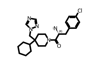 [N][C@H](Cc1ccc(Cl)cc1)C(=O)N1CCC(Cn2cncn2)(C2CCCCC2)CC1